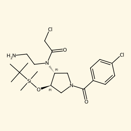 CC(C)(C)[Si](C)(C)O[C@@H]1CN(C(=O)c2ccc(Cl)cc2)C[C@H]1N(CCN)C(=O)CCl